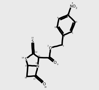 O=C(OCc1ccc([N+](=O)[O-])cc1)C1C(=S)SC2CC(=O)N21